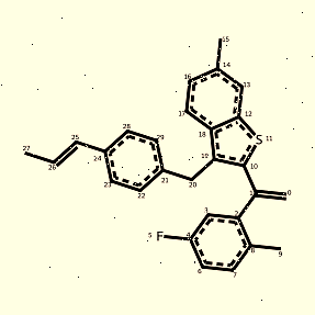 C=C(c1cc(F)ccc1C)c1sc2cc(C)ccc2c1Cc1ccc(/C=C/C)cc1